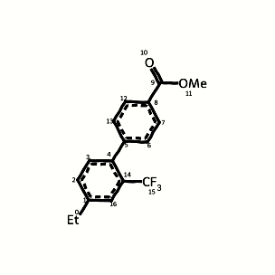 CCc1ccc(-c2ccc(C(=O)OC)cc2)c(C(F)(F)F)c1